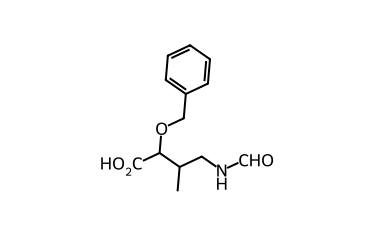 CC(CNC=O)C(OCc1ccccc1)C(=O)O